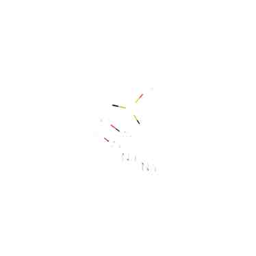 CC(=O)[O-].CC(=O)[O-].C[S+](C)[O-].[Na+].[Na+]